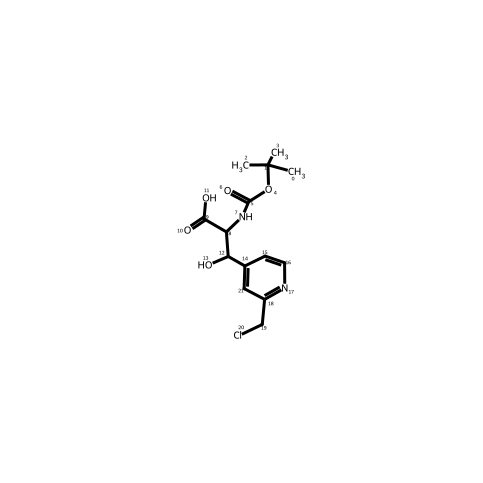 CC(C)(C)OC(=O)NC(C(=O)O)C(O)c1ccnc(CCl)c1